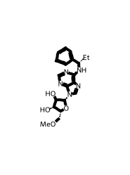 CC[C@H](Nc1ncnc2c1ncn2[C@@H]1O[C@H](COC)[C@H](O)C1O)c1ccccc1